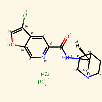 Cl.Cl.O=C(N[C@H]1CN2CCC1CC2)c1cc2c(Cl)coc2cn1